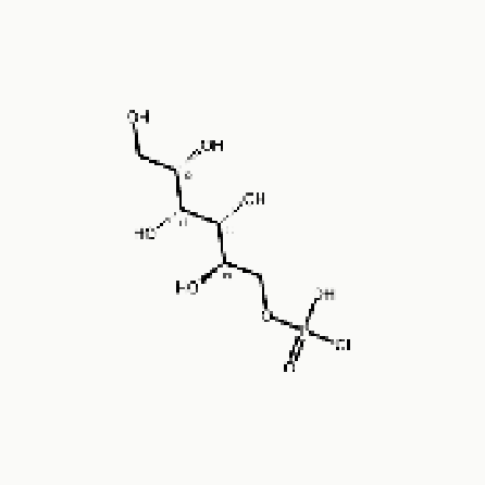 O=P(O)(O)OC[C@@H](O)[C@@H](O)[C@H](O)[C@@H](O)CO